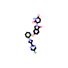 O=C1CC[C@H](N2Cc3cc(O[C@H]4CCCC[C@H]4N4CC(c5ncc(Br)cn5)C4)ccc3C2=O)C(=O)N1